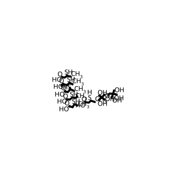 CCC(S)CC(=O)O.CCC(S)CC(=O)O.CCC(S)CC(=O)O.CCC(S)CC(=O)O.CCC(S)CC(=O)O.CCC(S)CC(=O)O.OCC(CO)(CO)COCC(CO)(CO)CO